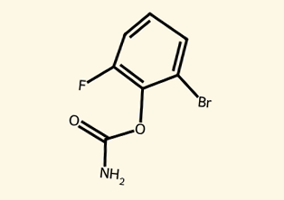 NC(=O)Oc1c(F)cccc1Br